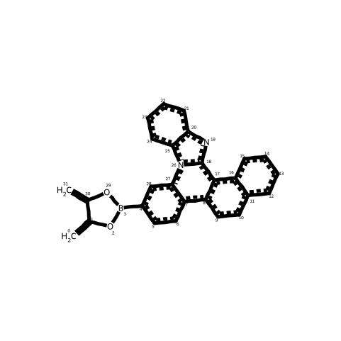 C=C1OB(c2ccc3c4ccc5ccccc5c4c4nc5ccccc5n4c3c2)OC1=C